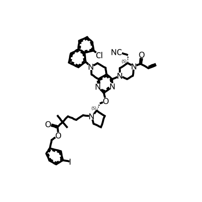 C=CC(=O)N1CCN(c2nc(OC[C@@H]3CCCN3CCCC(C)(C)C(=O)OCc3cccc(I)c3)nc3c2CCN(c2cccc4cccc(Cl)c24)C3)C[C@@H]1CC#N